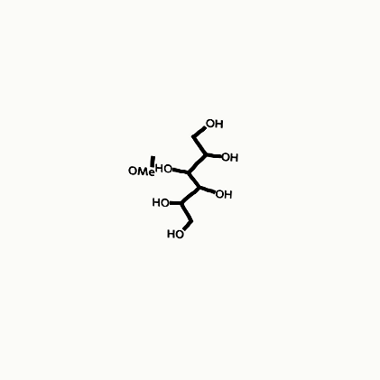 COC.OCC(O)C(O)C(O)C(O)CO